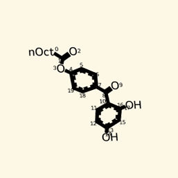 CCCCCCCCC(=O)Oc1ccc(C(=O)c2ccc(O)cc2O)cc1